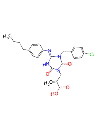 C=C(Cn1c(=O)[nH]/c(=N\c2ccc(CCCC)cc2)n(Cc2ccc(Cl)cc2)c1=O)C(=O)O